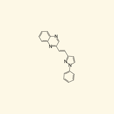 C(=C\c1ccn(-c2ccccc2)n1)/c1cnc2ccccc2n1